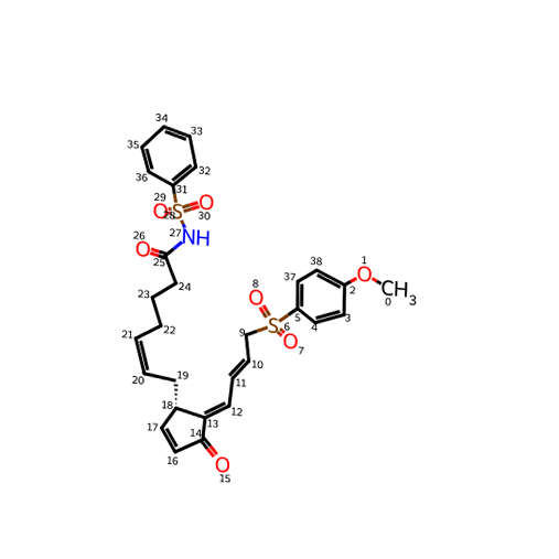 COc1ccc(S(=O)(=O)C/C=C/C=C2/C(=O)C=C[C@@H]2C/C=C\CCCC(=O)NS(=O)(=O)c2ccccc2)cc1